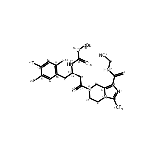 C=C(NCC#N)c1nc(C(F)(F)F)n2c1CN(C(=O)C[C@@H](Cc1cc(F)c(F)cc1F)NC(=O)OC(C)(C)C)CC2